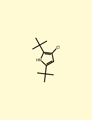 CC(C)(C)c1cc(Cl)c(C(C)(C)C)[nH]1